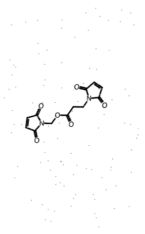 O=C(CCN1C(=O)C=CC1=O)OCN1C(=O)C=CC1=O